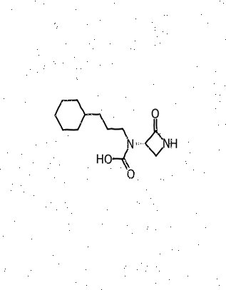 O=C1NC[C@@H]1N(CCCC1CCCCC1)C(=O)O